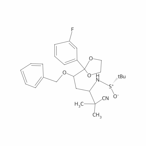 CC(C)(C#N)C(CC(OCc1ccccc1)C1(c2cccc(F)c2)OCCO1)N[S@@+]([O-])C(C)(C)C